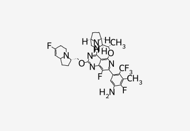 Cc1c(F)c(N)cc(-c2nc3c4c(nc(OC[C@@H]5CCC6C=C(F)CCN65)nc4c2F)N2C[C@H]4CC[C@H](N4)[C@H]2[C@H](C)O3)c1C(F)(F)F